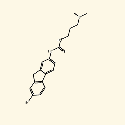 CN(C)CCCNC(=S)Nc1ccc2c(c1)Cc1cc(Br)ccc1-2